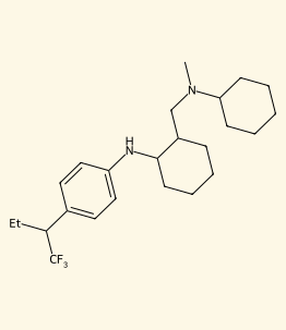 CCC(c1ccc(NC2CCCCC2CN(C)C2CCCCC2)cc1)C(F)(F)F